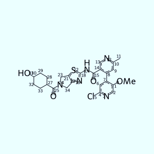 COc1cnc(Cl)cc1-c1cc(C)ncc1C(=O)Nc1nc2c(s1)CN(C(=O)C1CCC(O)CC1)C2